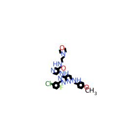 COc1ccc(CNc2ccc3c(Nc4ccncc4C(=O)NCCCN4CCOCC4)nc(-c4cc(Cl)ccc4F)nc3n2)cc1